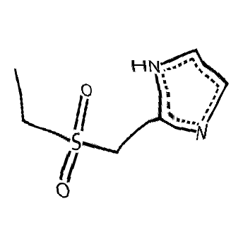 CCS(=O)(=O)Cc1ncc[nH]1